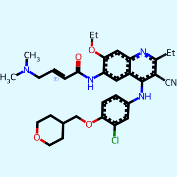 CCOc1cc2nc(CC)c(C#N)c(Nc3ccc(OCC4CCOCC4)c(Cl)c3)c2cc1NC(=O)/C=C/CN(C)C